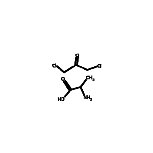 CC(N)C(=O)O.O=C(CCl)CCl